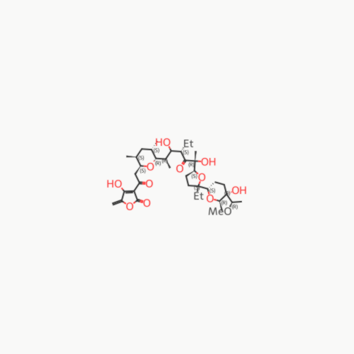 C=C1OC(=O)C(C(=O)C[C@@H]2O[C@@H]([C@H](C)C(O)[C@H](CC)C(=O)[C@](C)(O)[C@@H]3CC[C@@](CC)([C@@H]4CC[C@@](O)([C@@H](C)OC)[C@@H](C)O4)O3)[C@@H](C)C[C@@H]2C)=C1O